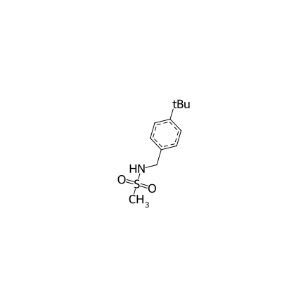 CC(C)(C)c1ccc(CNS(C)(=O)=O)cc1